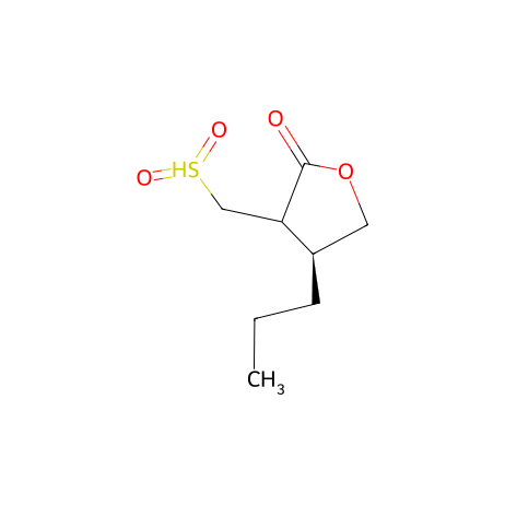 CCC[C@@H]1COC(=O)C1C[SH](=O)=O